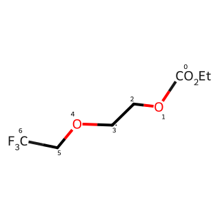 CCOC(=O)OC[CH]OCC(F)(F)F